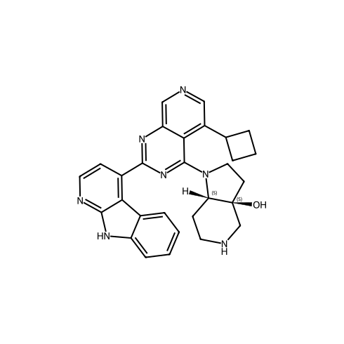 O[C@]12CCN(c3nc(-c4ccnc5[nH]c6ccccc6c45)nc4cncc(C5CCC5)c34)[C@H]1CCNC2